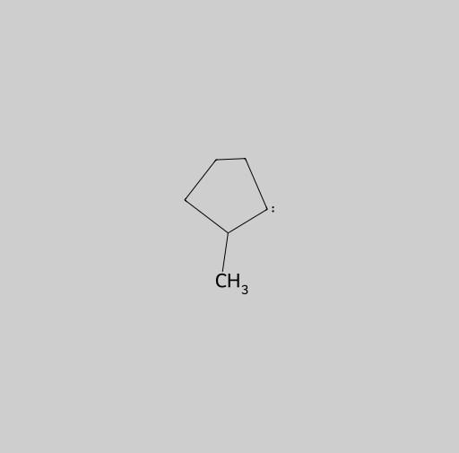 CC1[C]CCC1